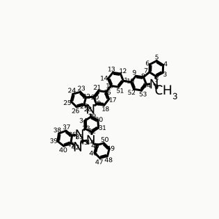 Cn1c2ccccc2c2cc(-c3cccc(-c4ccc5c(c4)c4ccccc4n5-c4ccc5c(c4)n4c6ccccc6nc4n5-c4ccccc4)c3)ccc21